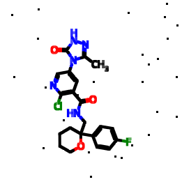 Cc1n[nH]c(=O)n1-c1cnc(Cl)c(C(=O)NCC2(c3ccc(F)cc3)CCCCO2)c1